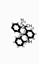 C[Si]1(C)c2ccccc2B2c3ccccc3Nc3cccc1c32